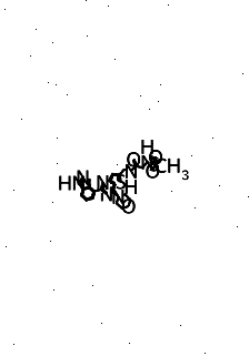 CS(=O)(=O)NCC(=O)NCc1cc2nc(-c3cccc4[nH]ncc34)nc(N3CCOCC3)c2s1